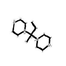 [CH2]C(CC)(N1CCOCC1)N1CCOCC1